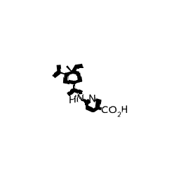 C=C[C@]1(C)CC[C@@H](C(=C)CNc2ccc(C(=O)O)cn2)C[C@H]1C(=C)C